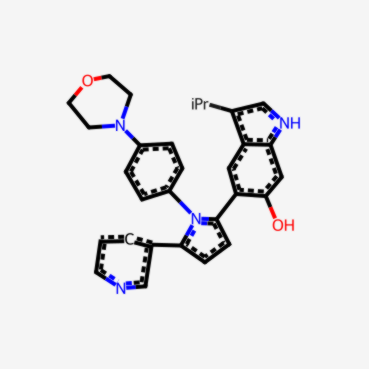 CC(C)c1c[nH]c2cc(O)c(-c3ccc(-c4cccnc4)n3-c3ccc(N4CCOCC4)cc3)cc12